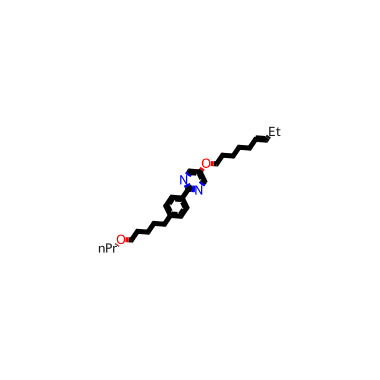 CC/C=C/CCCCCOc1cnc(-c2ccc(CCCCCOCCC)cc2)nc1